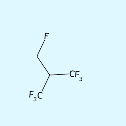 FCC(C(F)(F)F)C(F)(F)F